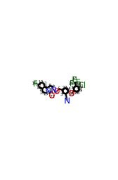 N#Cc1cc(CON2C=CC3=C4CC=C(F)C=C4CCN3C2=O)ccc1Oc1ccc(Cl)c(C(F)(F)F)c1